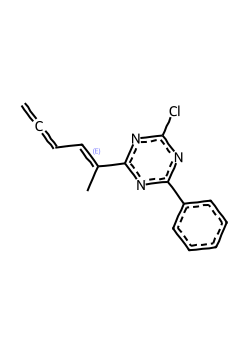 C=C=C/C=C(\C)c1nc(Cl)nc(-c2ccccc2)n1